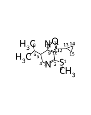 CSC1=NCC(C(C)C)c2noc(C3CC3)c21